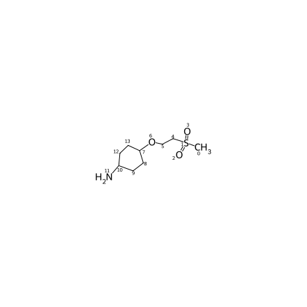 CS(=O)(=O)CCOC1CCC(N)CC1